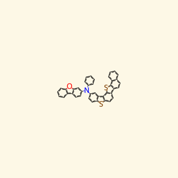 c1ccc(N(c2ccc3c(c2)oc2ccccc23)c2ccc3sc4ccc5c6ccc7ccccc7c6sc5c4c3c2)cc1